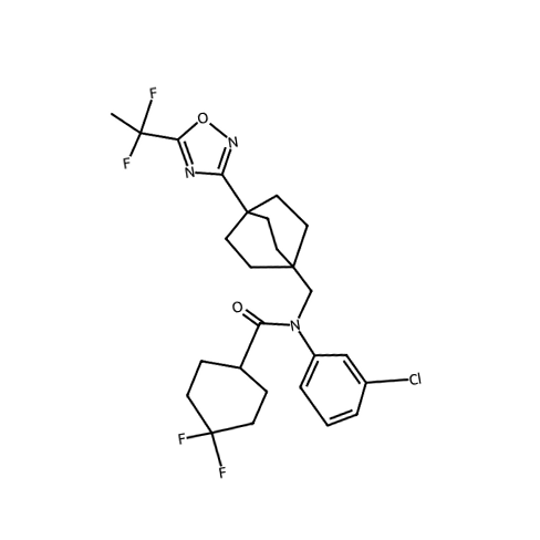 CC(F)(F)c1nc(C23CCC(CN(C(=O)C4CCC(F)(F)CC4)c4cccc(Cl)c4)(CC2)CC3)no1